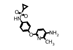 Cc1nc(Oc2ccc(NS(=O)(=O)C3CC3)cc2)ccc1N